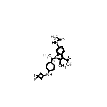 CC(=O)Nc1ccc2c(C(=O)O)c(C)n([C@H](C)C3CCC(NC4CC(F)(F)C4)CC3)c2c1